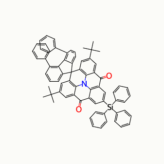 CC(C)(C)c1cc2c3c(c1)c(=O)c1cc([Si](c4ccccc4)(c4ccccc4)c4ccccc4)cc4c(=O)c5cc(C(C)(C)C)cc(c5n3c14)C21c2cccc(-c3ccccc3)c2-c2c(-c3ccccc3)cccc21